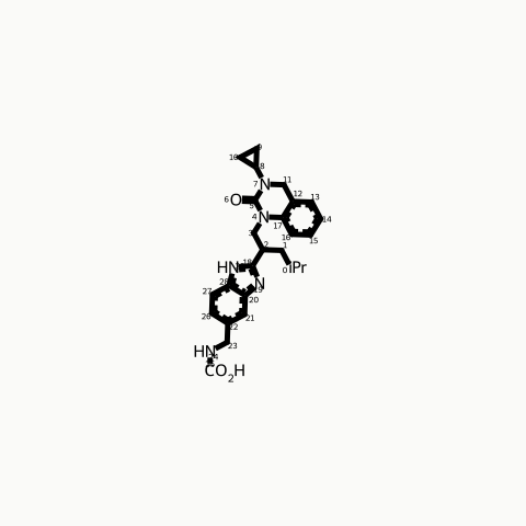 CC(C)CC(CN1C(=O)N(C2CC2)Cc2ccccc21)c1nc2cc(CNC(=O)O)ccc2[nH]1